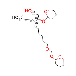 O=C(O)C[C@@H]1[C@@H](C=CCCCCOCOC2CCCCO2)[C@H](OC2CCCCO2)C[C@@H]1O